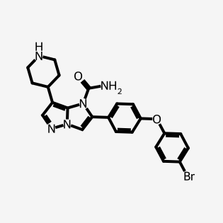 NC(=O)n1c(-c2ccc(Oc3ccc(Br)cc3)cc2)cn2ncc(C3CCNCC3)c12